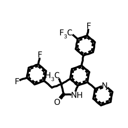 CC1(Cc2cc(F)cc(F)c2)C(=O)Nc2c(-c3ccccn3)cc(-c3ccc(F)c(C(F)(F)F)c3)cc21